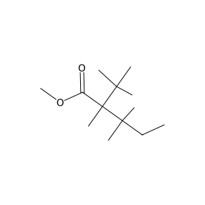 CCC(C)(C)C(C)(C(=O)OC)C(C)(C)C